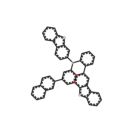 c1cc(-c2ccc3ccccc3c2)cc(N(c2ccc3c(c2)oc2ccccc23)c2ccccc2-c2ccc3oc4ccccc4c3c2)c1